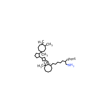 CCCCCC(CN)CCCCCC1CCCCCC(C)(C)C1CC1CC(C2CCCC2C2(C)CCCC(C)C(C)CC2)C1